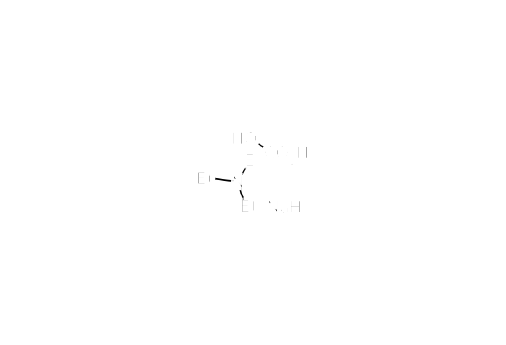 CCN(CC)CC.O=C(O)O.[NaH]